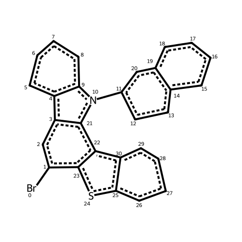 Brc1cc2c3ccccc3n(-c3ccc4ccccc4c3)c2c2c1sc1ccccc12